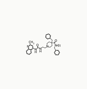 CCN(Cc1ccccc1)C(=O)C1(Cc2ccccc2)CCN(CCNC(=O)Nc2cc(C)nc3ccccc23)CC1